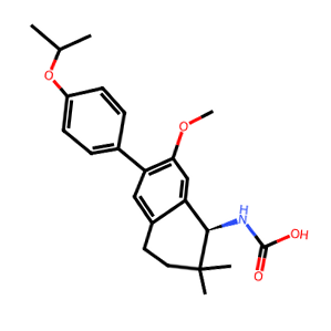 COc1cc2c(cc1-c1ccc(OC(C)C)cc1)CCC(C)(C)[C@@H]2NC(=O)O